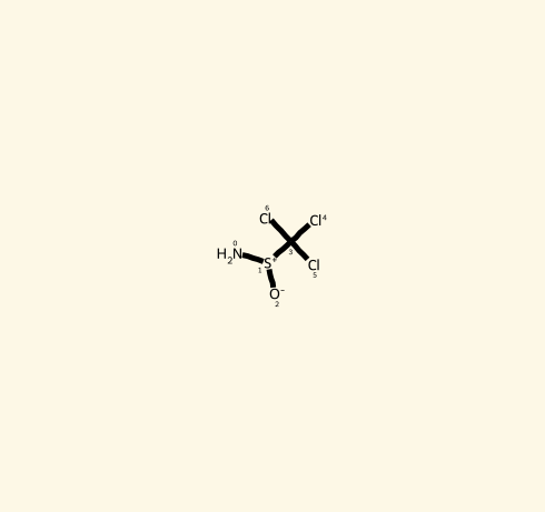 N[S+]([O-])C(Cl)(Cl)Cl